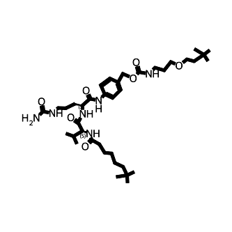 CC(C)[C@H](NC(=O)CCCCCC(C)(C)C)C(=O)N[C@@H](CCCNC(N)=O)C(=O)Nc1ccc(COC(=O)NCCCOCCC(C)(C)C)cc1